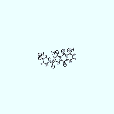 COc1ccc(C(=O)c2cc(O)c3c(c2)C(=O)c2cccc(O)c2C3=O)cc1